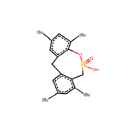 CC(C)(C)c1cc2c(c(C(C)(C)C)c1)CP(=O)(O)Oc1c(cc(C(C)(C)C)cc1C(C)(C)C)C2